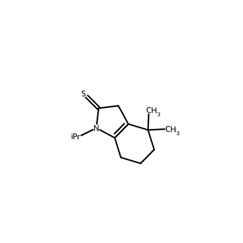 CC(C)N1C(=S)CC2=C1CCCC2(C)C